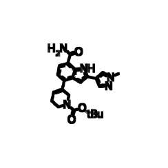 Cn1cc(-c2cc3c(C4=CCCN(C(=O)OC(C)(C)C)C4)ccc(C(N)=O)c3[nH]2)cn1